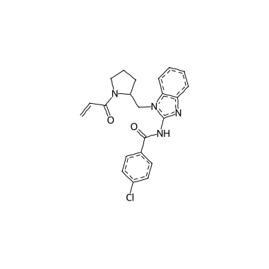 C=CC(=O)N1CCCC1Cn1c(NC(=O)c2ccc(Cl)cc2)nc2ccccc21